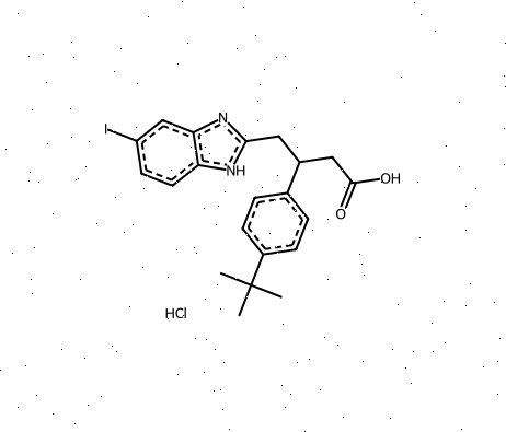 CC(C)(C)c1ccc(C(CC(=O)O)Cc2nc3cc(I)ccc3[nH]2)cc1.Cl